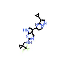 FC(F)(F)C1(CNc2ncc3c(-c4ccn5ncc(C6CC6)c5n4)c[nH]c3n2)CC1